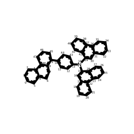 c1ccc2c(c1)ccc1c(-c3ccc(N(c4cc5ccccc5c5ccccc45)c4cc5ccccc5c5ccccc45)cc3)cccc12